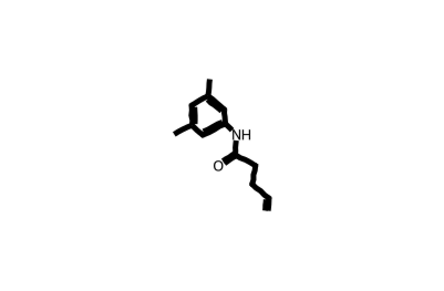 C=CCCC(=O)Nc1cc(C)cc(C)c1